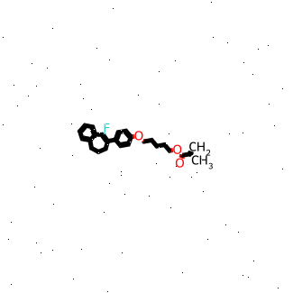 C=C(C)C(=O)OCCCCCOc1ccc(C2=C(F)c3ccccc3CCC2)cc1